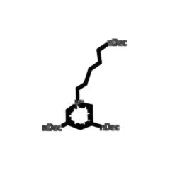 CCCCCCCCCCCCCCC[n+]1cc(CCCCCCCCCC)cc(CCCCCCCCCC)c1